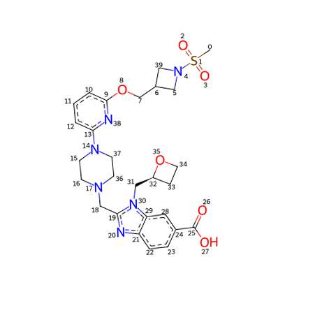 CS(=O)(=O)N1CC(COc2cccc(N3CCN(Cc4nc5ccc(C(=O)O)cc5n4C[C@@H]4CCO4)CC3)n2)C1